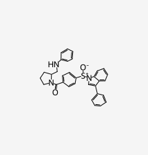 O=C(c1ccc([S+]([O-])n2cc(-c3ccccc3)c3ccccc32)cc1)N1CCCC1CNc1ccccc1